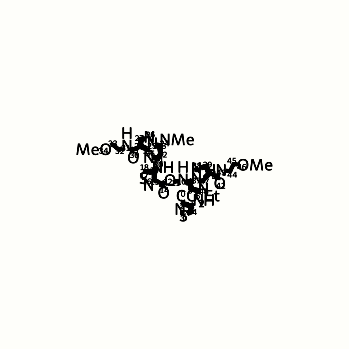 CCOC(=O)c1nscc1Nc1cc(NCOC(=O)c2nscc2Nc2cc(NC)n3ncc(C(=O)NCCOC)c3n2)n2ncc(C(=O)NCCOC)c2n1